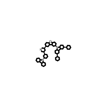 c1ccc(-c2ccc3c(c2)c2cc(-c4ccccc4)ccc2n3-c2ccc3oc4ccc(-c5cncc(-c6cccc(-n7c8ccccc8c8ccccc87)c6)c5)cc4c3c2)cc1